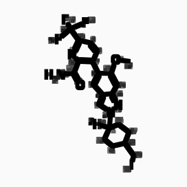 [2H]C1(n2cc3cc(-c4ccc(C(F)(F)F)nc4C(N)=O)c(OC)cc3n2)CCC(CI)CC1